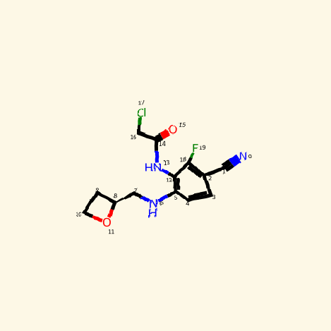 N#Cc1ccc(NC[C@@H]2CCO2)c(NC(=O)CCl)c1F